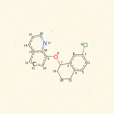 Clc1ccc2c(c1)C(Oc1cccc3cccnc13)CCC2